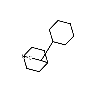 C1CCC(C2CN3CCC2CC3)CC1